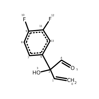 C=CC(O)(C=O)c1ccc(F)c(F)c1